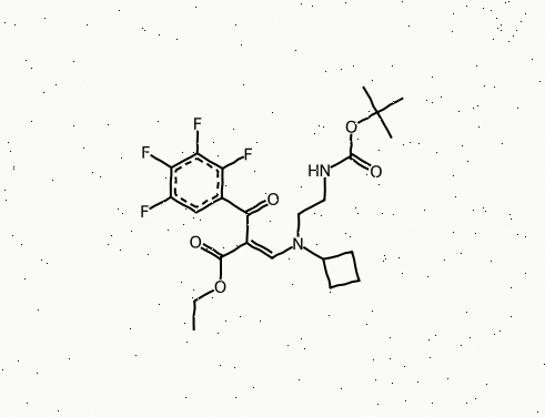 CCOC(=O)/C(=C/N(CCNC(=O)OC(C)(C)C)C1CCC1)C(=O)c1cc(F)c(F)c(F)c1F